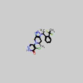 C[C@@H]1Cc2c(nnn2[C@@H](C)c2ccccc2C(C)(F)F)CN1c1cn[nH]c(=O)c1Cl